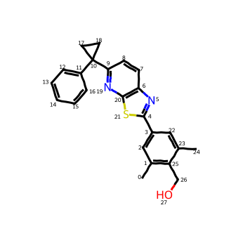 Cc1cc(-c2nc3ccc(C4(c5ccccc5)CC4)nc3s2)cc(C)c1CO